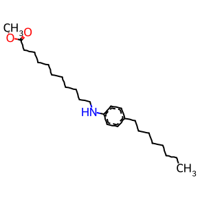 CCCCCCCCc1ccc(NCCCCCCCCCCC(=O)OC)cc1